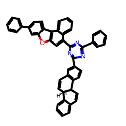 C1=C[C@@H]2c3ccccc3C=CC2c2ccc(-c3nc(-c4ccccc4)nc(-c4cc5oc6cc(-c7ccccc7)ccc6c5c5ccccc45)n3)cc21